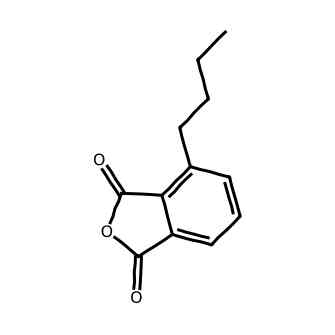 CCCCc1cccc2c1C(=O)OC2=O